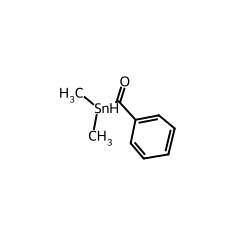 [CH3][SnH]([CH3])[C](=O)c1ccccc1